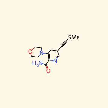 CSC#CC1C=NC(C(N)=O)=C(N2CCOCC2)C1